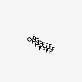 FC(F)C(F)C(F)C(F)C(F)C(F)C(F)C(F)(F)C(F)(F)C(F)(F)C(F)(F)C(F)c1ccccc1